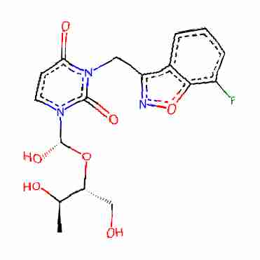 C[C@@H](O)[C@@H](CO)O[C@H](O)n1ccc(=O)n(Cc2noc3c(F)cccc23)c1=O